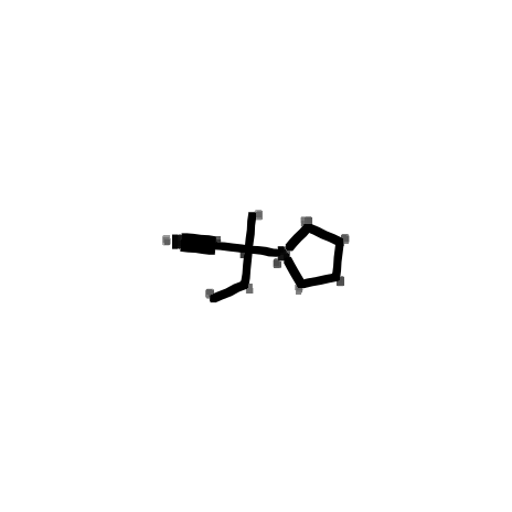 CCC(C)(C#N)N1CCCC1